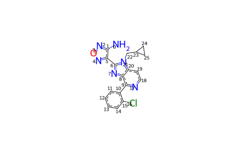 Nc1nonc1-c1nc2c(-c3ccccc3Cl)nccc2n1CC1CC1